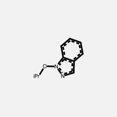 CC(C)On1ncc2ccccc21